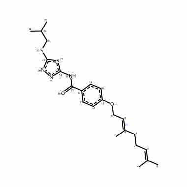 CC(C)=CCC/C(C)=C/COc1ccc(C(=O)Nc2nnc(SCC(C)C)s2)cc1